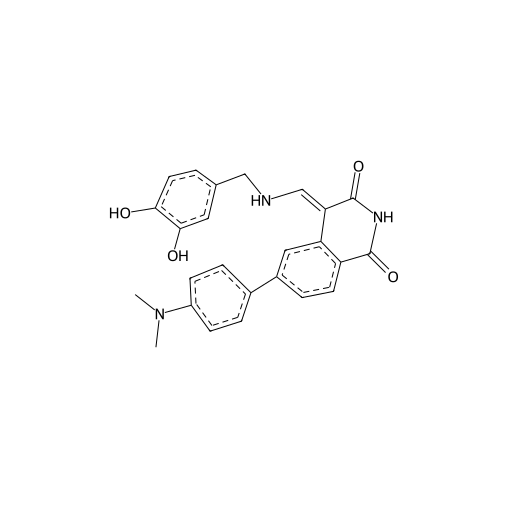 CN(C)c1ccc(-c2ccc3c(c2)/C(=C\NCc2ccc(O)c(O)c2)C(=O)NC3=O)cc1